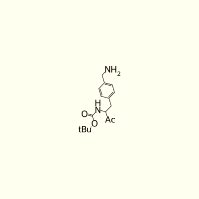 CC(=O)C(Cc1ccc(CN)cc1)NC(=O)OC(C)(C)C